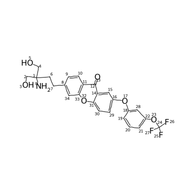 NC(CO)(CO)CCc1ccc2c(=O)c3cc(Oc4cccc(OC(F)(F)F)c4)ccc3oc2c1